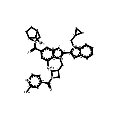 COc1cc(C(=O)N2CC3CCC2C3N)cc2nc(-c3cc4ccccc4n3CC3CC3)n(CC3CN(C(=O)c4ccnc(Cl)c4)C3)c12